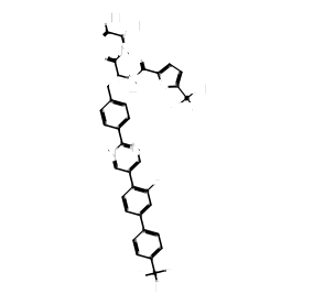 C[C@@H](NC(=O)[C@H](Cc1ccc(-c2ncc(-c3ccc(-c4ccc(C(F)(F)F)cc4)cc3F)cn2)cc1)NC(=O)c1ccc(C(C)(C)C)s1)C(=O)O